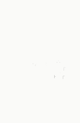 CCC[CH2][Sn]([CH2]CCC)([CH2]CCC)[c]1ccc(C(=O)C(F)(F)F)s1